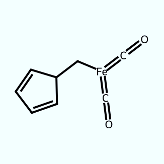 O=[C]=[Fe](=[C]=O)[CH2]C1C=CC=C1